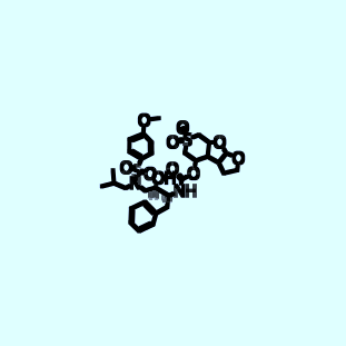 COc1ccc(S(=O)(=O)N(CC(C)C)C[C@@H](O)[C@H](Cc2ccccc2)NC(=O)OC2CS(=O)(=O)CC3OC4OCCC4C23)cc1